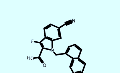 N#Cc1ccc2c(F)c(C(=O)O)n(Cc3cccc4ccccc34)c2c1